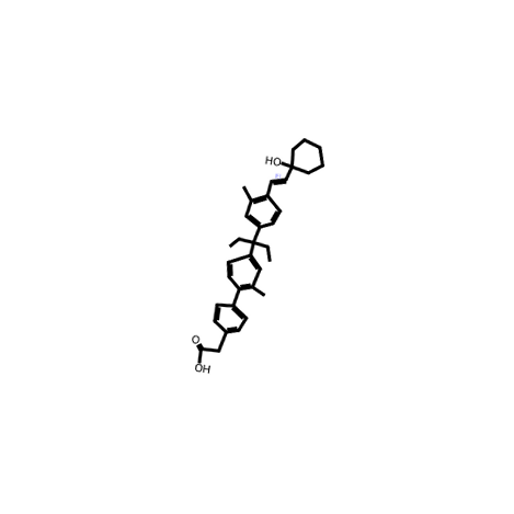 CCC(CC)(c1ccc(/C=C/C2(O)CCCCC2)c(C)c1)c1ccc(-c2ccc(CC(=O)O)cc2)c(C)c1